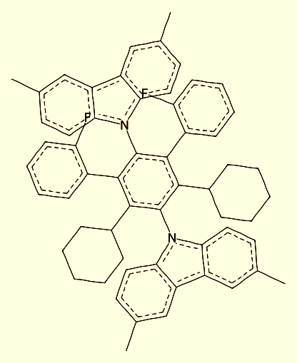 Cc1ccc2c(c1)c1cc(C)ccc1n2-c1c(-c2ccccc2F)c(C2CCCCC2)c(-n2c3ccc(C)cc3c3cc(C)ccc32)c(C2CCCCC2)c1-c1ccccc1F